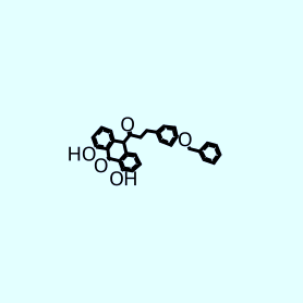 O=C1c2c(O)cccc2C(C(=O)CCc2ccc(OCc3ccccc3)cc2)c2cccc(O)c21